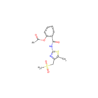 Cc1sc(NC(=O)c2ccccc2OC(=O)C(C)C)nc1CS(C)(=O)=O